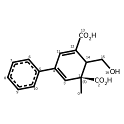 C[C@]1(C(=O)O)C=C(c2ccccc2)C=C(C(=O)O)C1CO